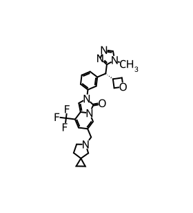 Cn1cnnc1[C@@H](c1cccc(-n2cc3c(C(F)(F)F)cc(CN4CCC5(CC5)C4)cn3c2=O)c1)C1COC1